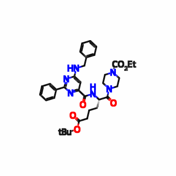 CCOC(=O)N1CCN(C(=O)[C@H](CCCC(=O)OC(C)(C)C)NC(=O)c2cc(NCc3ccccc3)nc(-c3ccccc3)n2)CC1